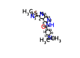 Cc1ncc(-c2cc3cc(NC(=O)C4CCC(N(C)C)CC4)ncc3cn2)s1